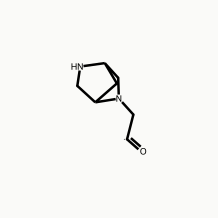 O=[C]CN1CC2CC1CN2